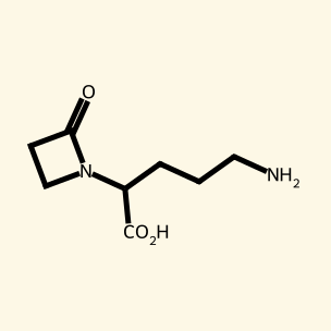 NCCCC(C(=O)O)N1CCC1=O